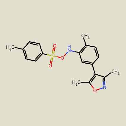 Cc1ccc(S(=O)(=O)ONc2cc(-c3c(C)noc3C)ccc2C)cc1